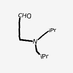 CC(C)N(CC=O)C(C)C